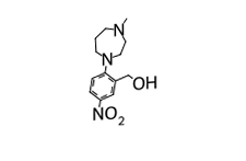 CN1CCCN(c2ccc([N+](=O)[O-])cc2CO)CC1